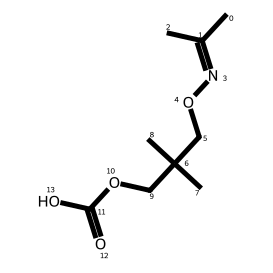 CC(C)=NOCC(C)(C)COC(=O)O